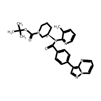 Cc1cccnc1N(C(=O)c1ccc(-c2cnn3cccnc23)cc1)[C@@H]1CCCN(C(=O)OC(C)(C)C)C1